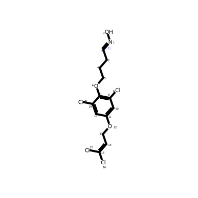 O/N=C/CCCOc1c(Cl)cc(OCC=C(Cl)Cl)cc1Cl